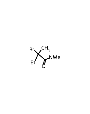 CCC(C)(Br)C(=O)NC